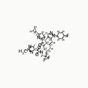 Cn1ncc(S(=O)(=O)N(CC(F)(F)F)[C@H]2CCC3=Cc4c(cnn4-c4ccc(F)cc4)C[C@]3(C(=O)c3nc(C4CC4)cs3)C2)n1